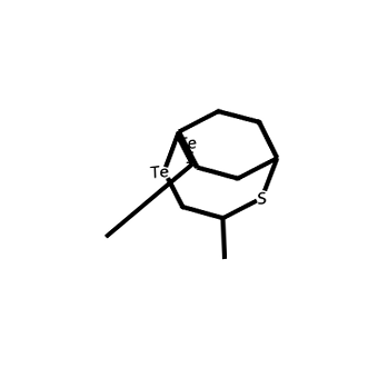 CC1C[Te]C23CCC(CC2SC(C)C[Te]3)S1